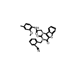 COc1cc(C)ccc1NC(=O)Cn1c(=O)n(Cc2ccccc2C#N)c(=O)c2sc3ccccc3c21